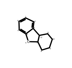 c1ccc2c(c1)OC1CCCCC21